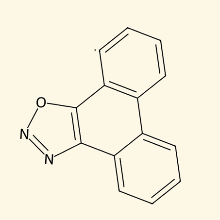 [c]1cccc2c1c1onnc1c1ccccc21